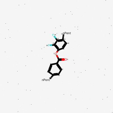 CCCCCc1ccc(C(=O)Oc2ccc(CCCCC)c(F)c2F)cc1